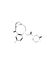 C=C1c2cc(Cl)ccc2N(CC(=O)N2CCNC(=O)C2)CCC2CCC1N2C